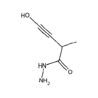 CC(C#CO)C(=O)NN